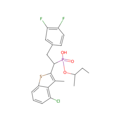 CCC(C)OP(=O)(O)C(Cc1ccc(F)c(F)c1)c1sc2cccc(Cl)c2c1C